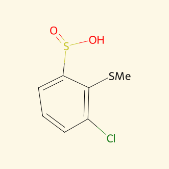 CSc1c(Cl)cccc1S(=O)O